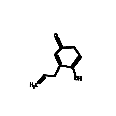 C=CCC1=CC(=O)CC=C1O